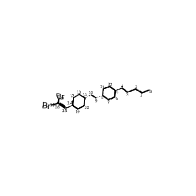 CCCCC[C@H]1CC[C@H](CC[C@H]2CC[C@H](C=C(Br)Br)CC2)CC1